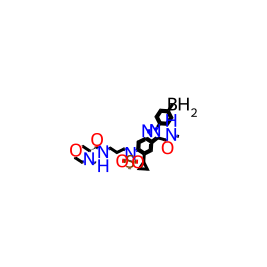 Bc1ccc(-n2nc3cc(N(CCCNC(=O)[C@H]4COCCN4C)S(C)(=O)=O)c(C4CC4)cc3c2C(=O)NC)cc1